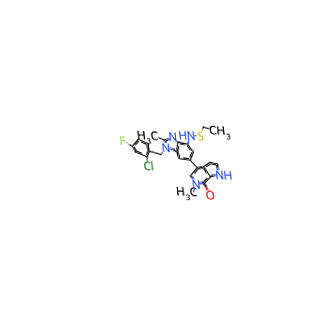 CCSNc1cc(-c2cn(C)c(=O)c3[nH]ccc23)cc2c1nc(C)n2Cc1ccc(F)cc1Cl